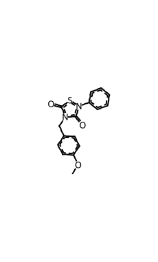 COc1ccc(Cn2c(=O)sn(-c3ccccc3)c2=O)cc1